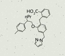 CCCC(COc1cc(Cn2cccn2)ccc1Cc1ccccc1C(=O)O)c1ccc(C)cc1